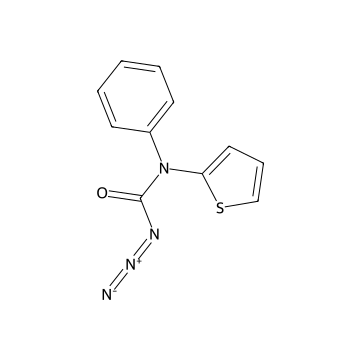 [N-]=[N+]=NC(=O)N(c1ccccc1)c1cccs1